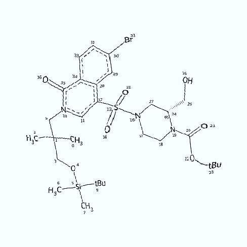 CC(C)(CO[Si](C)(C)C(C)(C)C)Cn1cc(S(=O)(=O)N2CCN(C(=O)OC(C)(C)C)[C@@H](CO)C2)c2cc(Br)ccc2c1=O